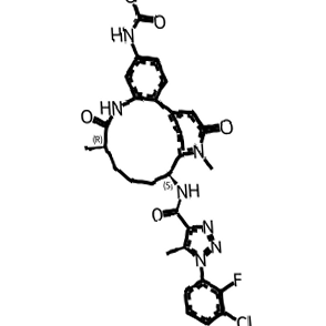 COC(=O)Nc1ccc2c(c1)NC(=O)[C@H](C)CCC[C@H](NC(=O)c1nnn(-c3cccc(Cl)c3F)c1C)c1cc-2cc(=O)n1C